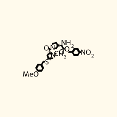 COc1ccc(CS[C@H]2C[C@@H](C(=O)N3CC[C@@H](C(N)C(=O)OCc4ccc([N+](=O)[O-])cc4)C3)N(C)C2)cc1